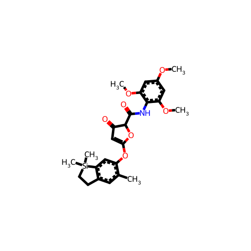 COc1cc(OC)c(NC(=O)C2OC(Oc3cc4c(cc3C)CC[Si]4(C)C)=CC2=O)c(OC)c1